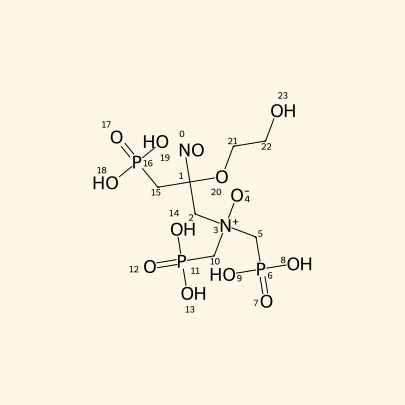 O=NC(C[N+]([O-])(CP(=O)(O)O)CP(=O)(O)O)(CP(=O)(O)O)OCCO